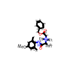 CCCC(C(=O)Nc1c(C)cc(OC)cc1C)[N+](CC)(CC)CC(=O)OCc1ccccc1